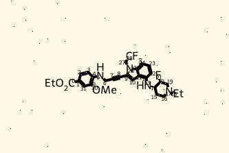 CCOC(=O)c1ccc(NCC#Cc2cc3c(N[C@@H]4CCN(CC)C[C@@H]4F)cccc3n2CC(F)(F)F)c(OC)c1